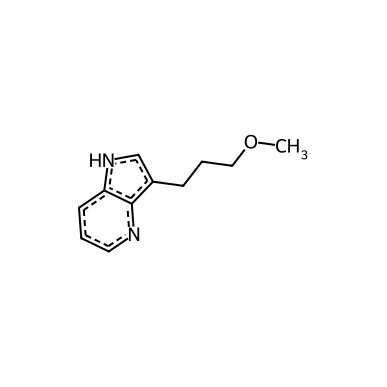 COCCCc1c[nH]c2cccnc12